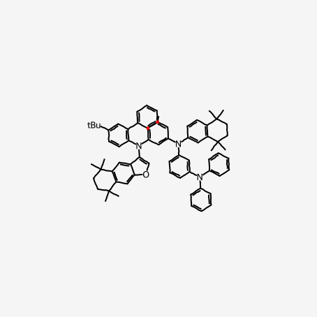 Cc1cc(N(c2cccc(N(c3ccccc3)c3ccccc3)c2)c2ccc3c(c2)C(C)(C)CCC3(C)C)cc(N(c2ccc(C(C)(C)C)cc2-c2ccccc2)c2coc3cc4c(cc23)C(C)(C)CCC4(C)C)c1